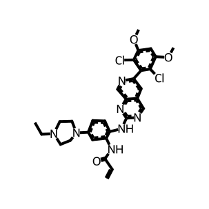 C=CC(=O)Nc1cc(N2CCN(CC)CC2)ccc1Nc1ncc2cc(-c3c(Cl)c(OC)cc(OC)c3Cl)ncc2n1